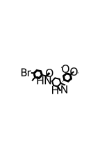 COc1ccc([C@@]23CC[C@@H](NC(=O)c4ccc(Br)c(C)c4)C[C@@H]2CN(C)C3)cc1OC